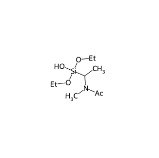 CCO[Si](O)(OCC)C(C)N(C)C(C)=O